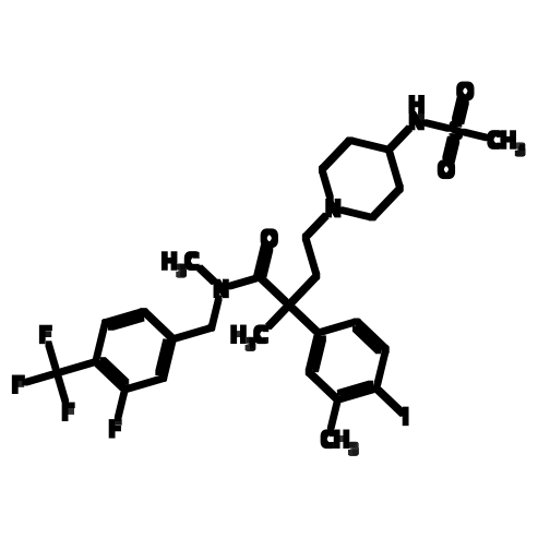 Cc1cc(C(C)(CCN2CCC(NS(C)(=O)=O)CC2)C(=O)N(C)Cc2ccc(C(F)(F)F)c(F)c2)ccc1I